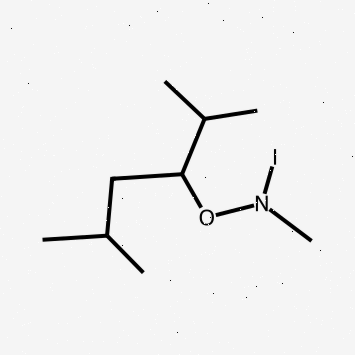 CC(C)CC(ON(C)I)C(C)C